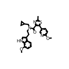 COc1ccc(-c2sc(C)nc2C(=O)N(CCc2c[nH]c3c(OC)cccc23)CC2CC2)cn1